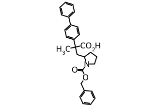 CC(CC1CCCN1C(=O)OCc1ccccc1)(C(=O)O)c1ccc(-c2ccccc2)cc1